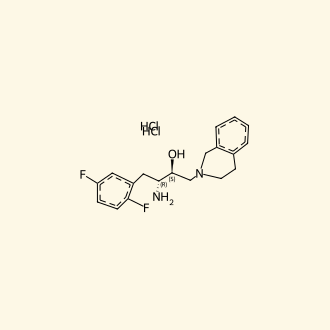 Cl.Cl.N[C@H](Cc1cc(F)ccc1F)[C@@H](O)CN1CCc2ccccc2C1